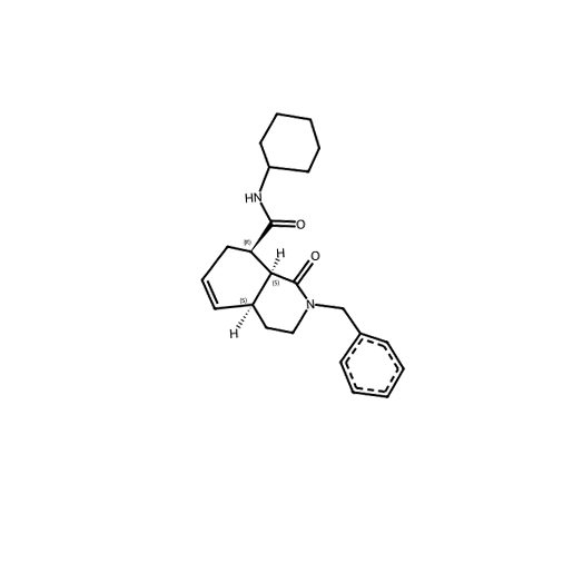 O=C(NC1CCCCC1)[C@@H]1CC=C[C@@H]2CCN(Cc3ccccc3)C(=O)[C@@H]21